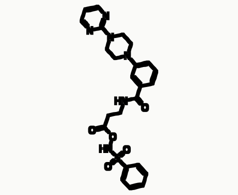 O=C(CCNC(=O)c1cccc(N2CCN(c3ncccn3)CC2)c1)ONS(=O)(=O)c1ccccc1